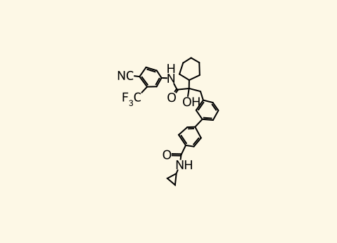 N#Cc1ccc(NC(=O)C(O)(Cc2cccc(-c3ccc(C(=O)NC4CC4)cc3)c2)C2CCCCC2)cc1C(F)(F)F